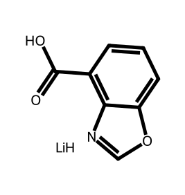 O=C(O)c1cccc2ocnc12.[LiH]